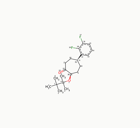 CC(C)(C)[Si](C)(C)O[C@@H]1CC[C@H](c2cccc(F)c2F)CCC1=O